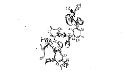 CC[C@@H](NC(=O)[C@H]1CCCN1C(=O)c1cccc(S(=O)(=O)N(C)C)c1)c1ccc(C(F)(F)F)cc1F